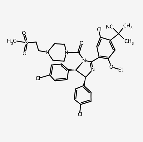 CCOc1cc(C(C)(C)C#N)c(Cl)cc1C1=N[C@@H](c2ccc(Cl)cc2)[C@@H](c2ccc(Cl)cc2)N1C(=O)N1CCN(CCS(C)(=O)=O)CC1